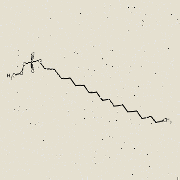 CCCCCCCCCCCCCCCCCCOS(=O)(=O)OOC